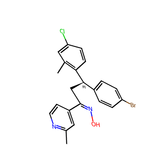 Cc1cc(C(C[C@H](c2ccc(Br)cc2)c2ccc(Cl)cc2C)=NO)ccn1